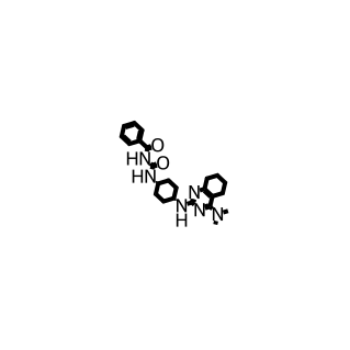 CN(C)c1nc(N[C@H]2CC[C@@H](NC(=O)NC(=O)c3ccccc3)CC2)nc2c1CCCC2